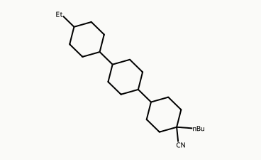 CCCCC1(C#N)CCC(C2CCC(C3CCC(CC)CC3)CC2)CC1